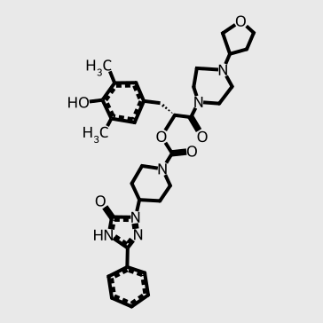 Cc1cc(C[C@@H](OC(=O)N2CCC(n3nc(-c4ccccc4)[nH]c3=O)CC2)C(=O)N2CCN(C3CCOC3)CC2)cc(C)c1O